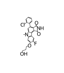 Cn1c2cc(OCCCO)c(F)cc2c2c3c(c(-c4ccccc4Cl)cc21)C(=O)NC3=O